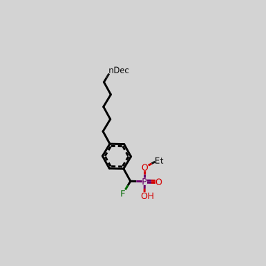 CCCCCCCCCCCCCCCc1ccc(C(F)P(=O)(O)OCC)cc1